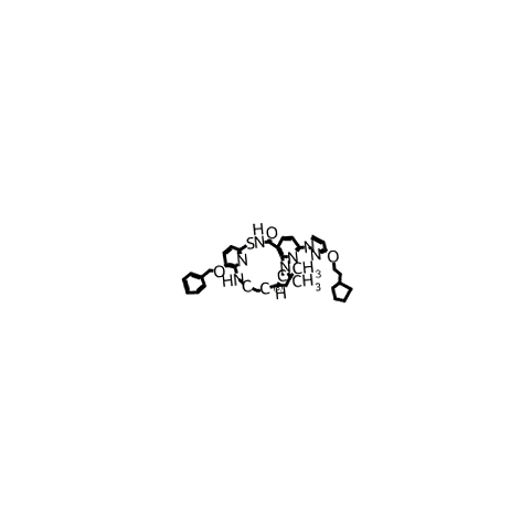 CC1(C)C[C@@H]2CCCNc3nc(ccc3OCc3ccccc3)SNC(=O)c3ccc(-n4ccc(OCCC5CCCC5)n4)nc3N1C2